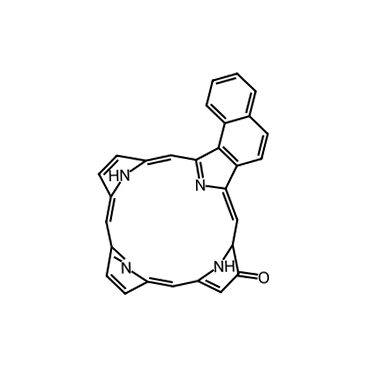 O=C1C=C2C=C3C=CC(=N3)C=c3ccc([nH]3)=CC3=NC(=CC1N2)c1ccc2ccccc2c13